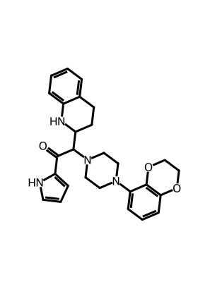 O=C(c1ccc[nH]1)C(C1CCc2ccccc2N1)N1CCN(c2cccc3c2OCCO3)CC1